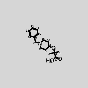 CC(C)(OC1CCN(Cc2ccccc2)CC1)C(=O)O